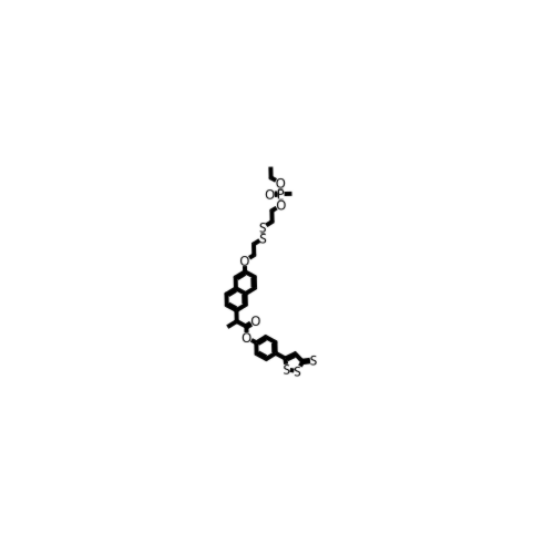 CCOP(C)(=O)OCCSSCCOc1ccc2cc(C(C)C(=O)Oc3ccc(-c4cc(=S)ss4)cc3)ccc2c1